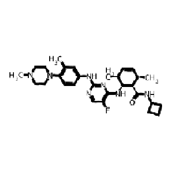 Cc1cc(Nc2ncc(F)c(N[C@@H]3[C@H](C(=O)NC4CCC4)[C@H](C)C=C[C@@H]3C)n2)ccc1N1CCN(C)CC1